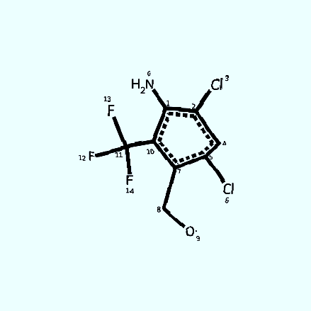 Nc1c(Cl)cc(Cl)c(C[O])c1C(F)(F)F